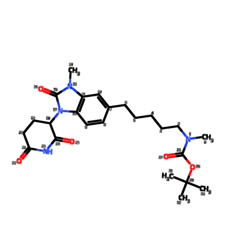 CN(CCCCCc1ccc2c(c1)n(C)c(=O)n2C1CCC(=O)NC1=O)C(=O)OC(C)(C)C